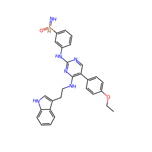 CCOc1ccc(-c2cnc(Nc3cccc([SH](=N)=O)c3)nc2NCCc2c[nH]c3ccccc23)cc1